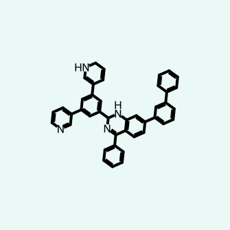 C1=CC(c2cc(-c3cccnc3)cc(C3N=C(c4ccccc4)c4ccc(-c5cccc(-c6ccccc6)c5)cc4N3)c2)=CNC1